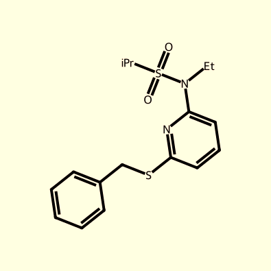 CCN(c1cccc(SCc2ccccc2)n1)S(=O)(=O)C(C)C